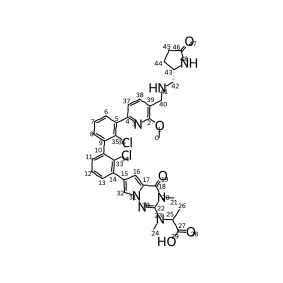 COc1nc(-c2cccc(-c3cccc(-c4cc5c(=O)n(C)c(N(C)C(C)C(=O)O)nn5c4)c3Cl)c2Cl)ccc1CNC[C@@H]1CCC(=O)N1